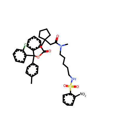 Cc1ccc(C(OC(=O)CC2(CC(=O)N(C)CCCCCNS(=O)(=O)c3ccccc3[N+](=O)[O-])CCCC2)(c2ccccc2)c2ccccc2Cl)cc1